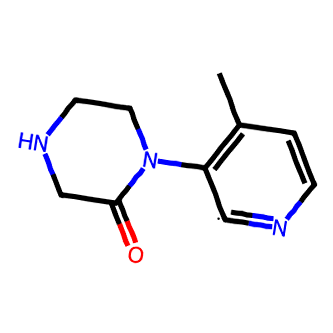 Cc1ccn[c]c1N1CCNCC1=O